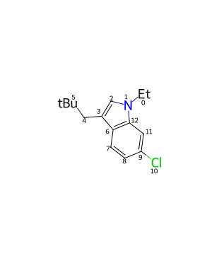 CCn1cc(CC(C)(C)C)c2ccc(Cl)cc21